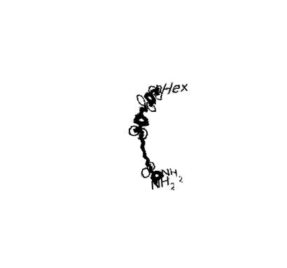 CCCCCCC(=O)Oc1ccc(OC(=O)C=Cc2ccc(C(=O)OCCCCCCCOC(=O)c3cc(N)cc(N)c3)cc2)cc1